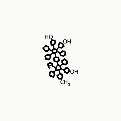 Cc1ccc(-c2c(-c3ccccc3)c(-c3ccccc3)c(-c3ccc(-c4c(-c5ccccc5)c(-c5ccccc5)c(-c5ccc(O)cc5)c(-c5ccc(O)cc5)c4-c4ccccc4)cc3)c(-c3ccccc3)c2-c2ccc(O)cc2)cc1